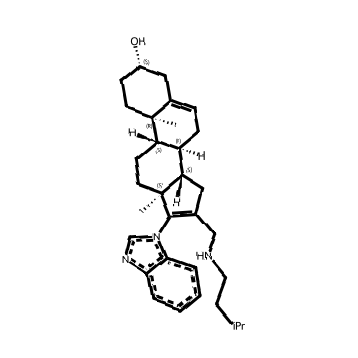 CC(C)CCNCC1=C(n2cnc3ccccc32)[C@@]2(C)CC[C@H]3[C@@H](CC=C4C[C@@H](O)CC[C@@]43C)[C@@H]2C1